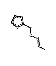 CC=NO[CH]c1cccs1